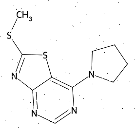 CSc1nc2ncnc(N3CCCC3)c2s1